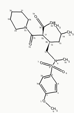 COc1ccc(S(=O)(=O)N(C)C[C@H](CC(C)C)[C@H](C(=O)O)C(=O)N2CCCCC2)cc1